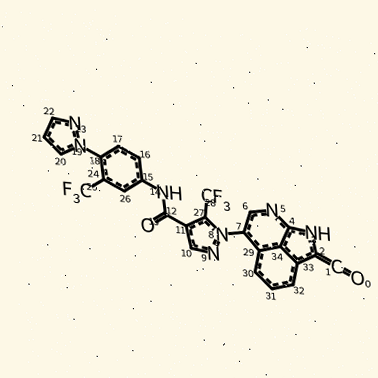 O=C=c1[nH]c2ncc(-n3ncc(C(=O)Nc4ccc(-n5cccn5)c(C(F)(F)F)c4)c3C(F)(F)F)c3cccc1c23